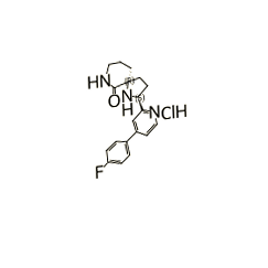 Cl.O=C1NCCC[C@@]12CC[C@@H](c1cc(-c3ccc(F)cc3)ccn1)N2